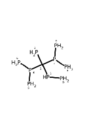 PPC(P)(P(P)P)P(P)P